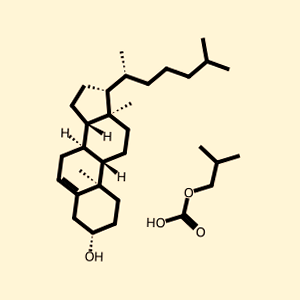 CC(C)CCC[C@@H](C)[C@H]1CC[C@H]2[C@@H]3CC=C4C[C@@H](O)CC[C@]4(C)[C@H]3CC[C@]12C.CC(C)COC(=O)O